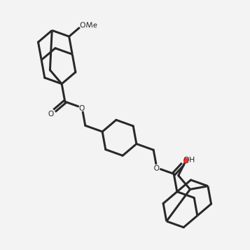 COC1C2CC3CC1CC(C(=O)OCC1CCC(COC(=O)C45CC6CC(C4)C(CO)C(C6)C5)CC1)(C3)C2